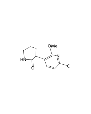 COc1nc(Cl)ccc1C1CCCNC1=O